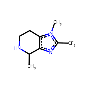 CC1NCCc2c1nc(C(F)(F)F)n2C